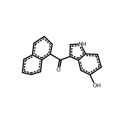 O=C(c1cccc2ccccc12)c1c[nH]c2ccc(O)cc12